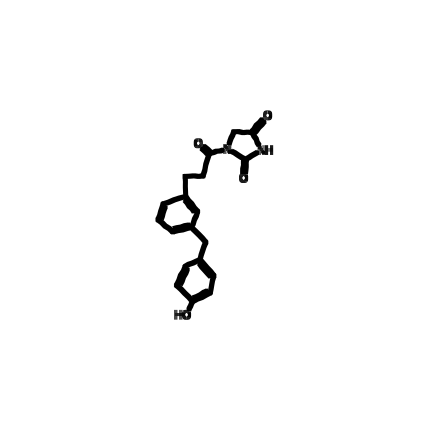 O=C1CN(C(=O)CCc2cccc(Cc3ccc(O)cc3)c2)C(=O)N1